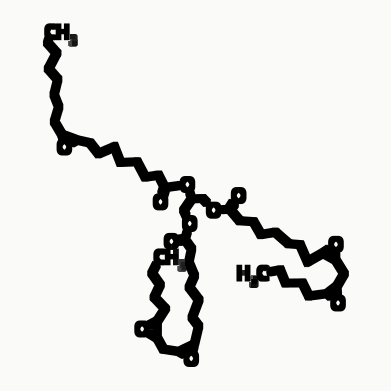 CCCCCCCCC1OC1CCCCCCCC(=O)OC(COC(=O)CCCCCCCC1OC1CC1OC1CCCCC)COC(=O)CCCCCCCC1OC1CC1OC1CCCCC